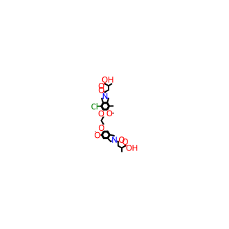 COc1cc2c(cc1OCCCOc1c(Cl)c3c(c(C)c1OC)CN(C(=O)CC(C)C(=O)O)C3)CN(C(=O)CC(C)C(=O)O)C2